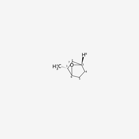 C[C@@H]1C[C@@H]2CCC1O2